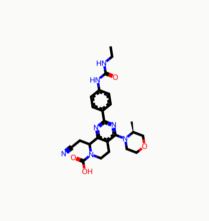 CCNC(=O)Nc1ccc(-c2nc3c(c(N4CCOC[C@@H]4C)n2)CCN(C(=O)O)C3CC#N)cc1